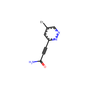 CCc1cnnc(C#CC(N)=O)c1